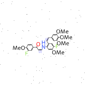 COc1ccc(C(=O)/C=C\Nc2cc(OC)c(F)cc2/C=C\c2cc(OC)c(OC)c(OC)c2)cc1F